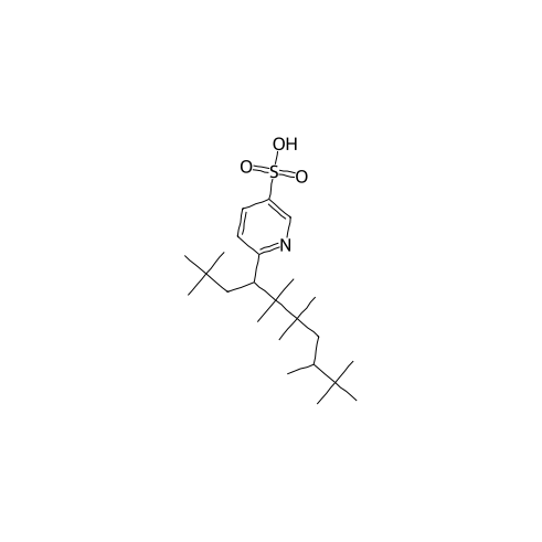 CC(CC(C)(C)C(C)(C)C(CC(C)(C)C)c1ccc(S(=O)(=O)O)cn1)C(C)(C)C